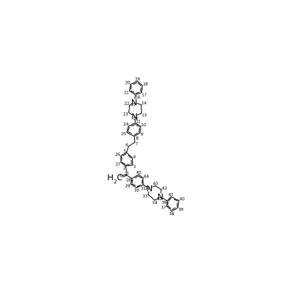 C=C(c1ccc(CCc2ccc(N3CCN(c4ccccc4)CC3)cc2)cc1)c1ccc(N2CCN(c3ccccc3)CC2)cc1